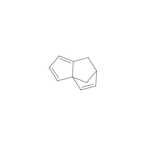 C1=CC23C=CC(CC2=C1)C3